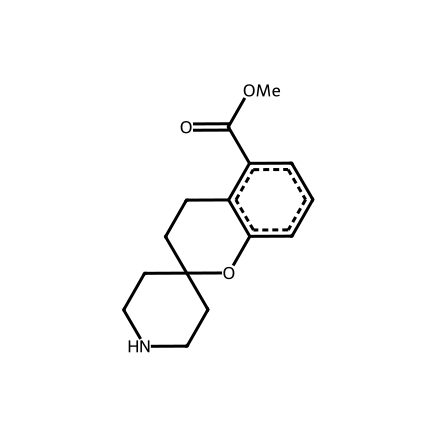 COC(=O)c1cccc2c1CCC1(CCNCC1)O2